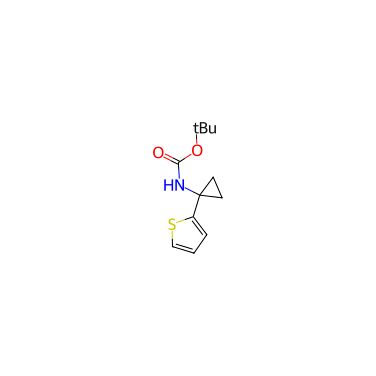 CC(C)(C)OC(=O)NC1(c2cccs2)CC1